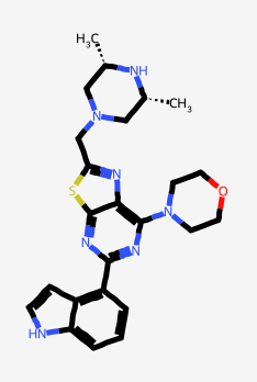 C[C@@H]1CN(Cc2nc3c(N4CCOCC4)nc(-c4cccc5[nH]ccc45)nc3s2)C[C@H](C)N1